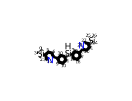 C[Si](C)(C)c1ccc(-c2cccc([SiH2]c3cccc(-c4ccc([Si](C)(C)C)cn4)c3)c2)nc1